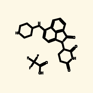 O=C(O)C(F)(F)F.O=C1CCC(N2C(=O)c3cccc4c(NC5CCNCC5)ccc2c34)C(=O)N1